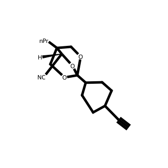 C#CC1CCC(C23OCC(CCC)(CO2)[C@@H](C#N)O3)CC1